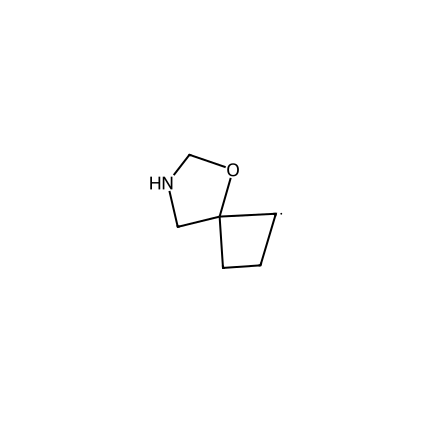 [CH]1CCC12CNCO2